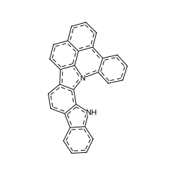 c1ccc2c(c1)[nH]c1c2ccc2c3ccc4cccc5c6ccccc6n(c21)c3c45